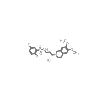 COc1cc2c(cc1OC)CN(CCCNS(=O)(=O)c1cc(F)ccc1F)CC2.Cl